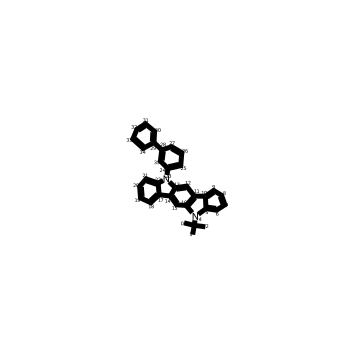 CC(C)(C)n1c2ccccc2c2cc3c(cc21)c1ccccc1n3-c1cccc(-c2ccccc2)c1